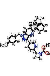 COc1ccc(Cn2nc(-c3ccc(C4CCN4C(=O)OC(C)(C)C)nc3)c3nc(-c4cccc5c4CCC5)c(OC)cc32)cc1